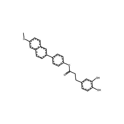 COc1ccc2cc(-c3ccc(OC(=O)CCc4ccc(O)c(O)c4)cc3)ccc2c1